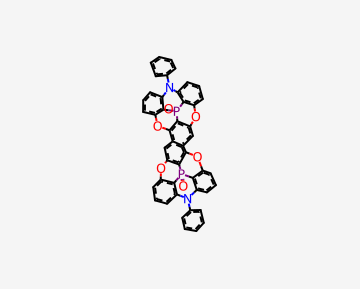 O=P12c3c4cccc3N(c3ccccc3)c3cccc(c31)Oc1c2c(cc2c3c5c(cc12)Oc1cccc2c1P5(=O)c1c(cccc1N2c1ccccc1)O3)O4